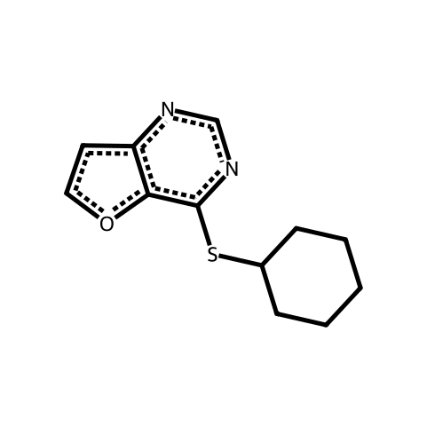 c1nc(SC2CCCCC2)c2occc2n1